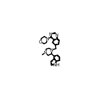 CN1CCN(Cc2ccc3ncnc(N4CCOCC4)c3c2)C(c2cccc3[nH]ccc23)C1